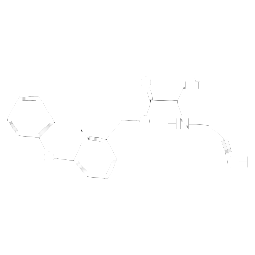 C#CCNC(C(=O)OCc1cccc(Oc2ccccc2)n1)C(C)C